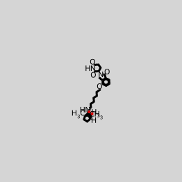 CC1(C)[C@@H]2CC[C@@]1(C)[C@@H](NCCCCCCCOc1cccc3c1CN(C1CCC(=O)NC1=O)C3=O)C2